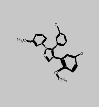 COc1ccc(Cl)cc1-c1cnn(-c2cccc(C)c2)c1-c1cccc(Cl)c1